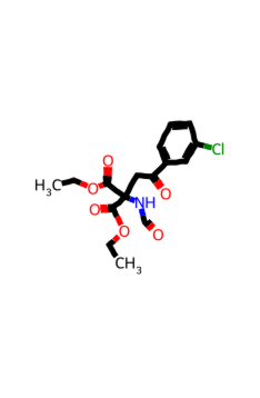 CCOC(=O)C(CC(=O)c1cccc(Cl)c1)(NC=O)C(=O)OCC